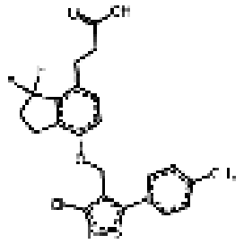 Cc1ccc(-c2snc(Cl)c2COc2ccc(CCC(=O)O)c3c2CCC3(F)F)cc1